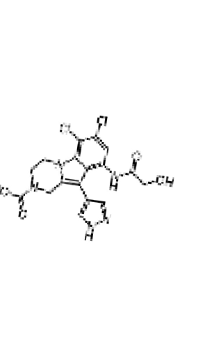 O=C(CO)Nc1cc(Cl)c(Cl)c2c1c(-c1cn[nH]c1)c1n2CCN(C(=O)O)C1